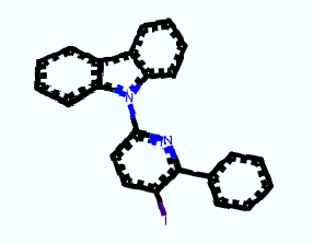 Ic1ccc(-n2c3ccccc3c3ccccc32)nc1-c1ccccc1